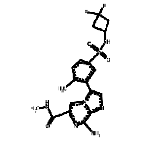 CNC(=O)c1cn2c(-c3cc(S(=O)(=O)NC4CC(F)(F)C4)ccc3C)cnc2c(N)n1